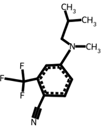 CC(C)CN(C)c1ccc(C#N)c(C(F)(F)F)c1